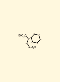 C1CCCCC1.CCOC(=O)CCC(=O)O